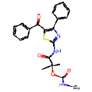 CC(C)(C)NC(=O)OC(C)(C)C(=O)Nc1nc(-c2ccccc2)c(C(=O)c2ccccc2)s1